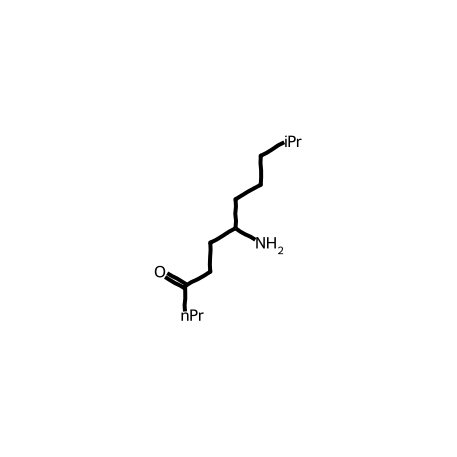 CCCC(=O)CCC(N)CCCC(C)C